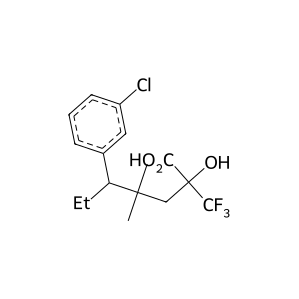 CCC(c1cccc(Cl)c1)C(C)(C)CC(O)(C(=O)O)C(F)(F)F